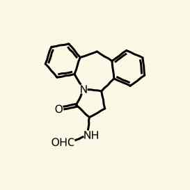 O=CNC1CC2c3ccccc3Cc3ccccc3N2C1=O